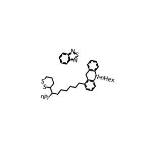 CCCCCCN1c2ccccc2Cc2c(CCCCCCC(CCC)C3CCCSS3)cccc21.c1ccc2nsnc2c1